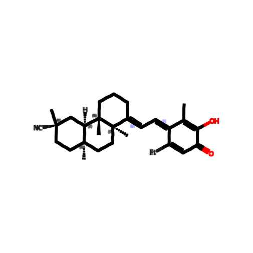 CCC1=CC(=O)C(O)=C(C)/C1=C/C=C1\CCC[C@@]2(C)[C@@H]3C[C@](C)(C#N)CC[C@]3(C)CC[C@]12C